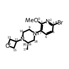 COc1nc(Br)ccc1N1CCN(C2COC2)[C@H](C)C1